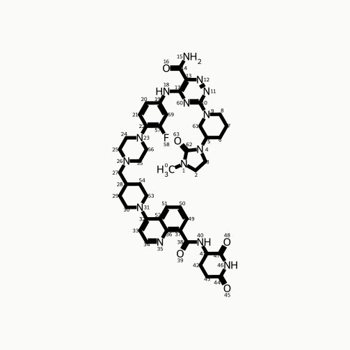 CN1CCN(C2CCCN(c3nnc(C(N)=O)c(Nc4ccc(N5CCN(CC6CCN(c7ccnc8c(C(=O)NC9CCC(=O)NC9=O)cccc78)CC6)CC5)c(F)c4)n3)C2)C1=O